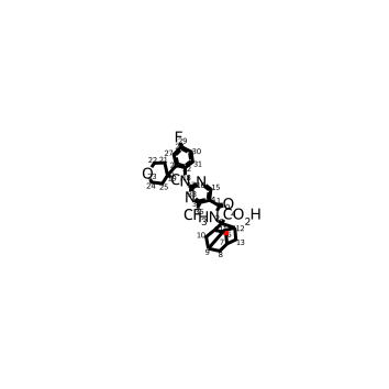 O=C(NC1(C(=O)O)C2CC3CC(C2)CC1C3)c1cnc(N2CC3(CCOCC3)c3cc(F)ccc32)nc1C(F)(F)F